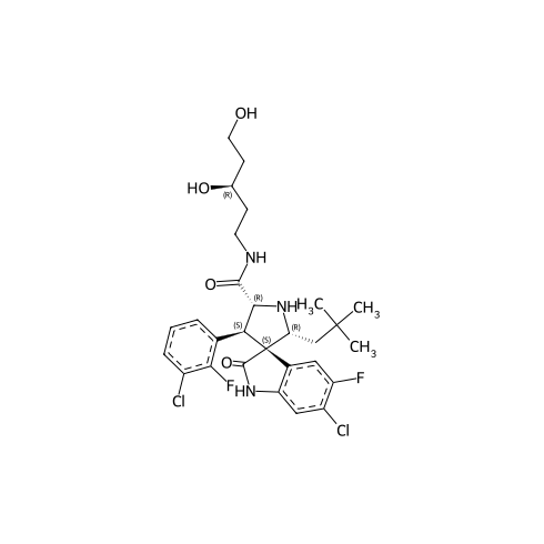 CC(C)(C)C[C@H]1N[C@@H](C(=O)NCC[C@@H](O)CCO)[C@H](c2cccc(Cl)c2F)[C@@]12C(=O)Nc1cc(Cl)c(F)cc12